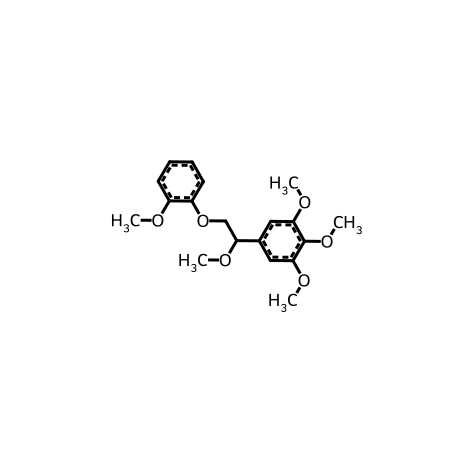 COc1ccccc1OCC(OC)c1cc(OC)c(OC)c(OC)c1